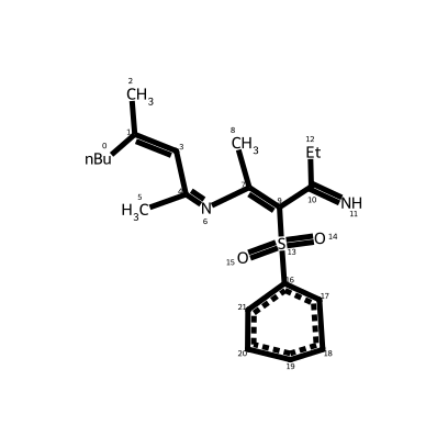 CCCC\C(C)=C/C(C)=N\C(C)=C(\C(=N)CC)S(=O)(=O)c1ccccc1